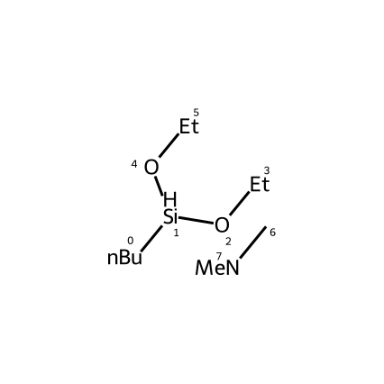 CCCC[SiH](OCC)OCC.CNC